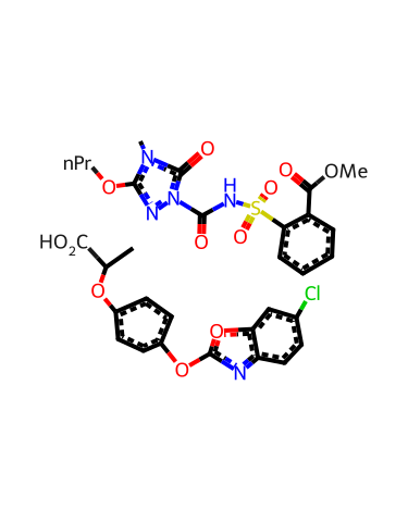 CC(Oc1ccc(Oc2nc3ccc(Cl)cc3o2)cc1)C(=O)O.CCCOc1nn(C(=O)NS(=O)(=O)c2ccccc2C(=O)OC)c(=O)n1C